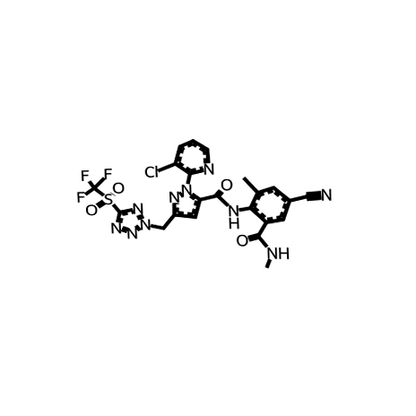 CNC(=O)c1cc(C#N)cc(C)c1NC(=O)c1cc(Cn2nnc(S(=O)(=O)C(F)(F)F)n2)nn1-c1ncccc1Cl